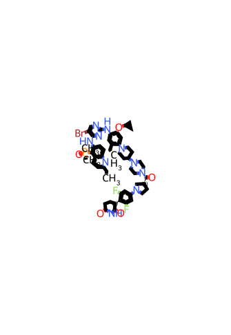 CCc1ccc2c(P(C)(C)=O)c(Nc3nc(Nc4cc(CC)c(N5CCC(N6CCN(C(=O)[C@@H]7CCN(c8cc(F)c([C@H]9CCC(=O)NC9=O)c(F)c8)C7)CC6)CC5)cc4OC4CC4)ncc3Br)ccc2n1